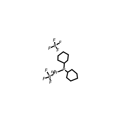 CCCP(C1CCCCC1)C1CCCCC1.F[B-](F)(F)F.F[B-](F)(F)F